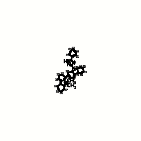 CC1(C)C2=C(C3=CC=C4C5C=CC=CC5N(c5n[nH]c(-c6ccccc6)n5)C4C3)CCC=C2C2C=CC=CC21